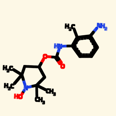 Cc1c(N)cccc1NC(=O)OC1CC(C)(C)N(O)C(C)(C)C1